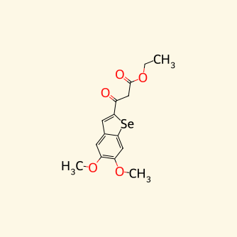 CCOC(=O)CC(=O)c1cc2cc(OC)c(OC)cc2[se]1